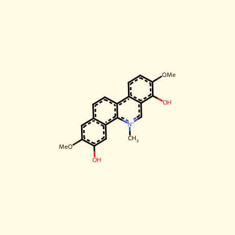 COc1cc2ccc3c4ccc(OC)c(O)c4c[n+](C)c3c2cc1O